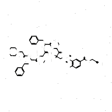 C#CCNC(=O)c1ccc(F)c(S(=O)(=O)OCC(C)(O)C(=O)[C@H](CC(C)C)NC(=O)[C@H](Cc2ccccc2)NC(=O)[C@H](CC(C)C)NC(=O)[C@H](CCc2ccccc2)NC(=O)CN2CCOCC2)c1